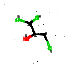 O[C@H](CCl)C(Cl)Cl